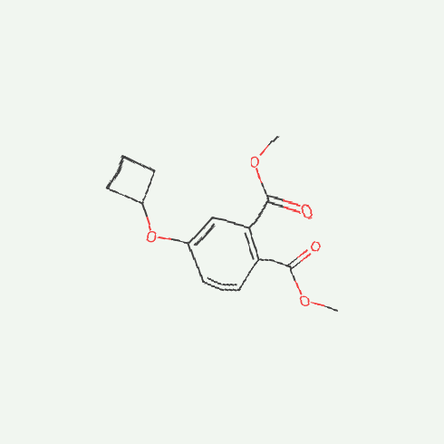 COC(=O)c1ccc(OC2CCC2)cc1C(=O)OC